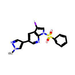 CC(C)(C)n1cc(-c2cnc3c(c2)c(I)cn3S(=O)(=O)c2ccccc2)cn1